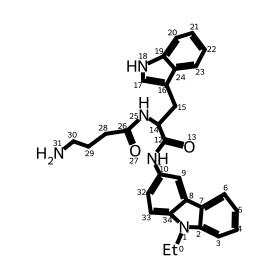 CCn1c2ccccc2c2cc(NC(=O)C(Cc3c[nH]c4ccccc34)NC(=O)CCCN)ccc21